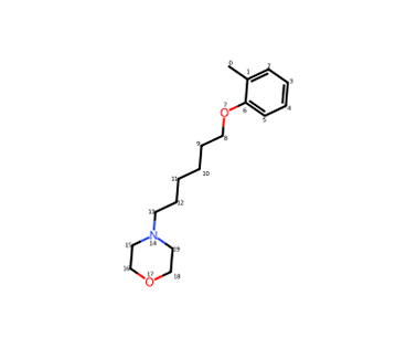 Cc1ccccc1OCCCCCCN1CCOCC1